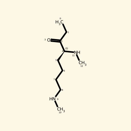 CCC(=O)[C@H](CCCCNC)NC